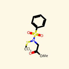 COC(=O)CN(SC(Cl)(Cl)Cl)S(=O)(=O)c1ccccc1